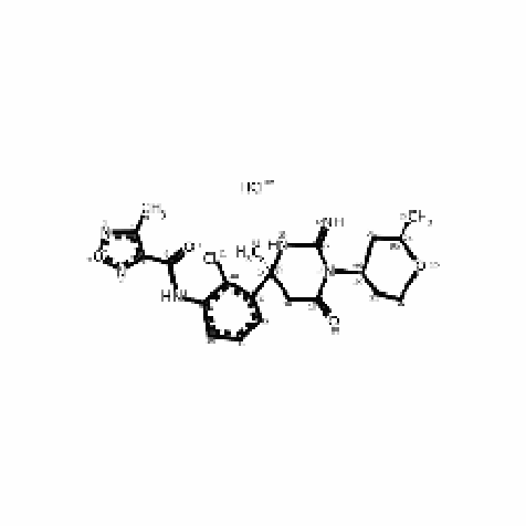 Cc1nonc1C(=O)Nc1cccc([C@]2(C)CC(=O)N([C@@H]3CCO[C@H](C)C3)C(=N)N2)c1Cl.Cl